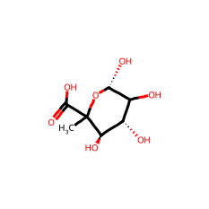 CC1(C(=O)O)O[C@H](O)C(O)[C@H](O)[C@H]1O